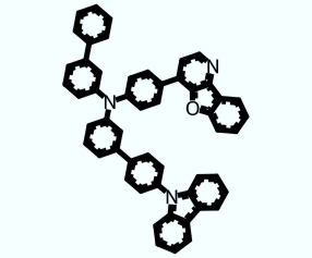 c1ccc(-c2cccc(N(c3ccc(-c4ccnc5c4oc4ccccc45)cc3)c3cccc(-c4ccc(-n5c6ccccc6c6ccccc65)cc4)c3)c2)cc1